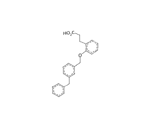 O=C(O)CCc1ccccc1OCc1cccc(Cc2ccccc2)c1